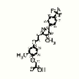 Cc1cc(OCCc2nn(-c3ccc(C(F)(F)F)cc3)nc2C)ccc1OCC(=O)O